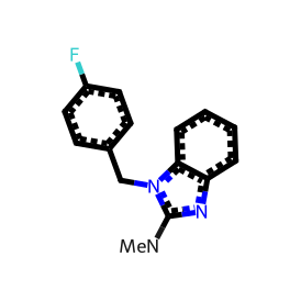 CNc1nc2ccccc2n1Cc1ccc(F)cc1